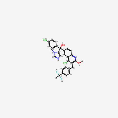 COc1nc2ccc(C(O)(c3ccc(Cl)cc3)c3cncn3C)cc2c(Cl)c1Cc1ccc(C(C)(F)F)cc1